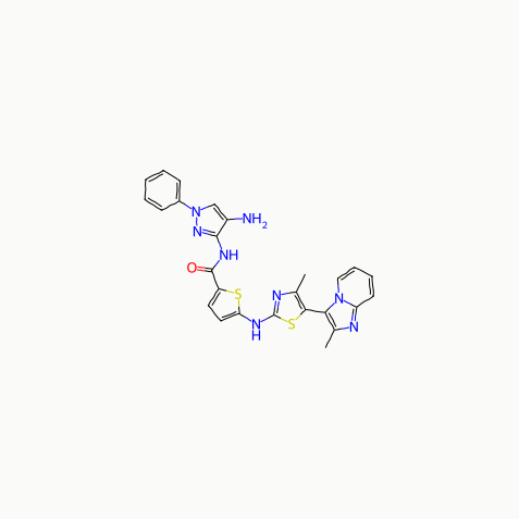 Cc1nc(Nc2ccc(C(=O)Nc3nn(-c4ccccc4)cc3N)s2)sc1-c1c(C)nc2ccccn12